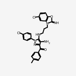 Cc1ccc(C(=O)c2nn(-c3ccc(Cl)cc3)c(NCCCn3c(=N)oc4ccc(Cl)cc43)c2N)cc1